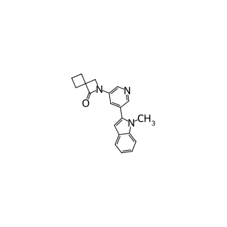 Cn1c(-c2cncc(N3CC4(CCC4)C3=O)c2)cc2ccccc21